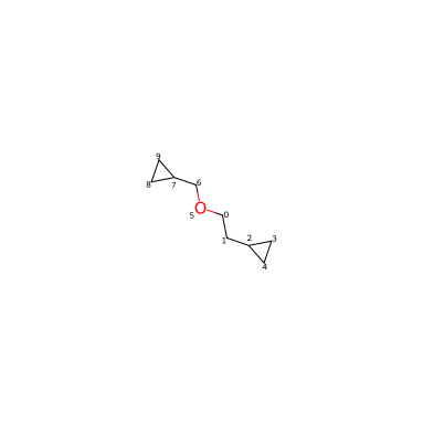 C(CC1CC1)OCC1CC1